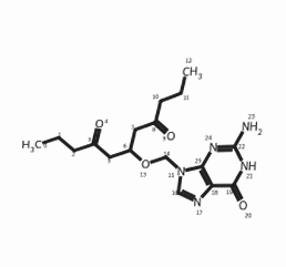 CCCC(=O)CC(CC(=O)CCC)OCn1cnc2c(=O)[nH]c(N)nc21